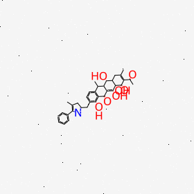 CC(=O)C1=C(C)CC2C(O)C3C(=C(O)C2(O)C1=O)C(=O)c1c(ccc(CC2=NC(c4ccccc4)=C(C)C2)c1O)C3C